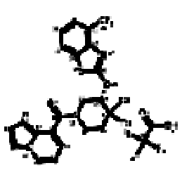 O=C(O)C(F)(F)F.O=C(c1cccn2ccnc12)N1CCC(F)(F)[C@@H](Oc2nc3c(C(F)(F)F)cccc3s2)C1